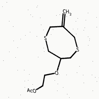 C=C1CSCC(OCCOC(C)=O)CSC1